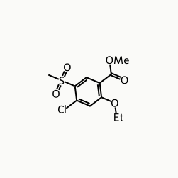 CCOc1cc(Cl)c(S(C)(=O)=O)cc1C(=O)OC